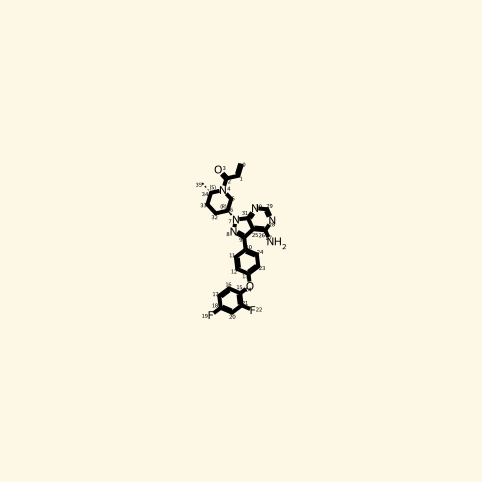 C=CC(=O)N1C[C@H](n2nc(-c3ccc(Oc4ccc(F)cc4F)cc3)c3c(N)ncnc32)CC[C@@H]1C